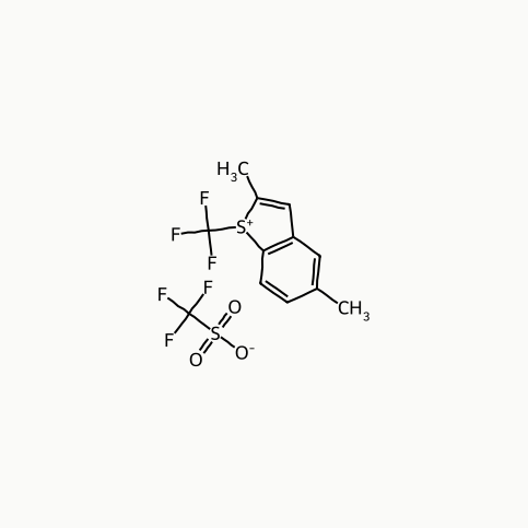 Cc1ccc2c(c1)cc(C)[s+]2C(F)(F)F.O=S(=O)([O-])C(F)(F)F